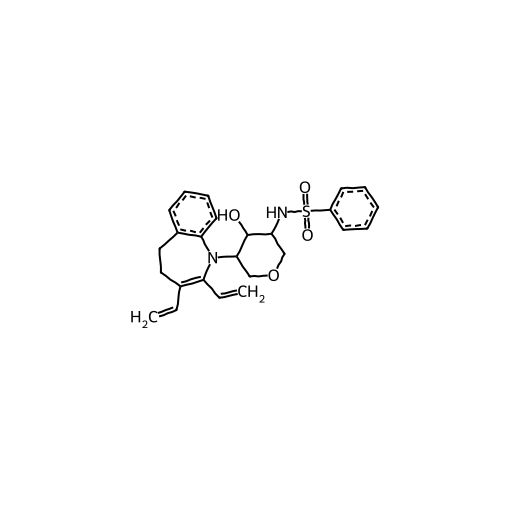 C=CC1=C(C=C)N(C2COCC(NS(=O)(=O)c3ccccc3)C2O)c2ccccc2CC1